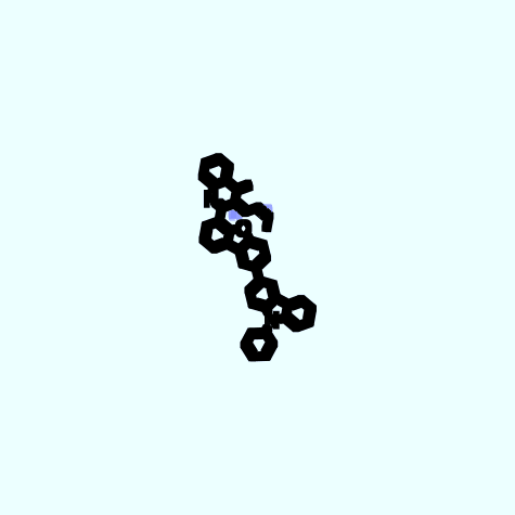 C=c1/c(=C\C=C/C)c(-c2cccc3c2oc2ccc(-c4ccc5c(c4)c4ccccc4n5-c4ccccc4)cc23)nc2ccccc12